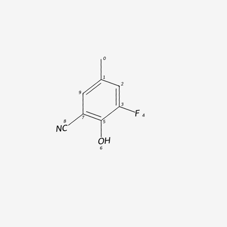 Cc1cc(F)c(O)c(C#N)c1